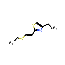 CCSC=Cc1nc(CC)cs1